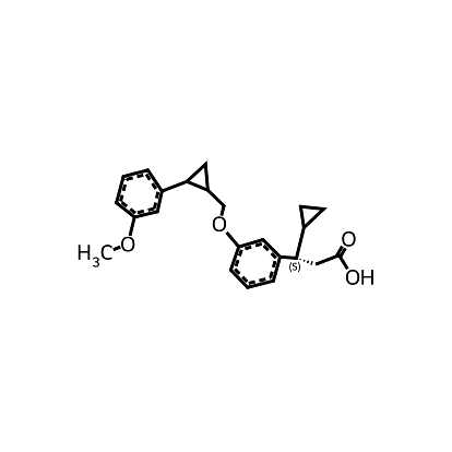 COc1cccc(C2CC2COc2cccc([C@@H](CC(=O)O)C3CC3)c2)c1